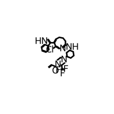 C=CC(=O)N1CCN([C@H]2CCC[C@@H](N/C3=N/C=C(Cl)\C(c4c[nH]c5ccccc45)=C/CCC3)C2)CC1C(F)(F)F